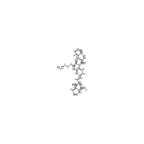 CCCCNC(=O)C(Nc1ccc2ncccc2c1)c1ccc(C=CC(=O)Nc2ccccc2N)cc1